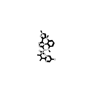 COc1cccc(OC)c1-n1c(NS(=O)(=O)C(C)C(C)c2ncc(Cl)cn2)nnc1-c1ccn(C)n1